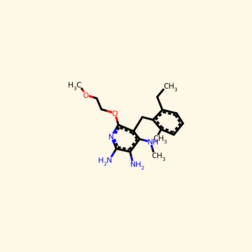 CCc1cccc(C)c1Cc1c(OCCOC)nc(N)c(N)c1NC